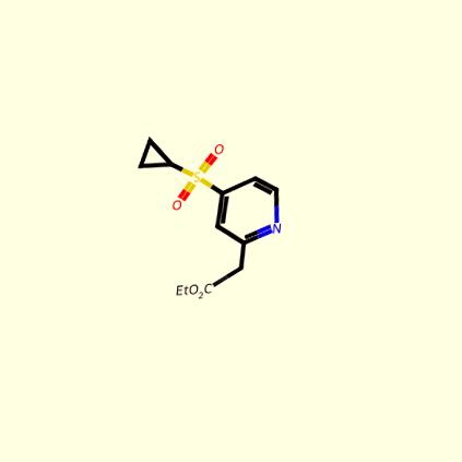 CCOC(=O)Cc1cc(S(=O)(=O)C2CC2)ccn1